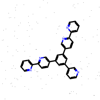 c1ccc(-c2ccc(-c3cc(-c4cccnc4)cc(-c4ccc(-c5ccccn5)nc4)c3)cn2)nc1